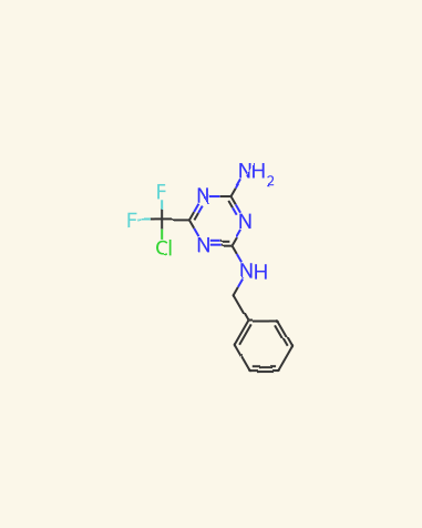 Nc1nc(NCc2ccccc2)nc(C(F)(F)Cl)n1